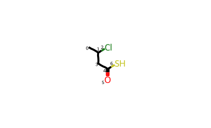 CC(Cl)CC(=O)S